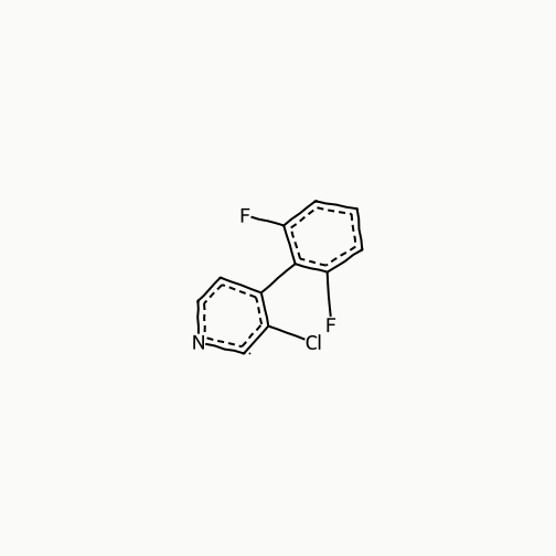 Fc1cccc(F)c1-c1ccn[c]c1Cl